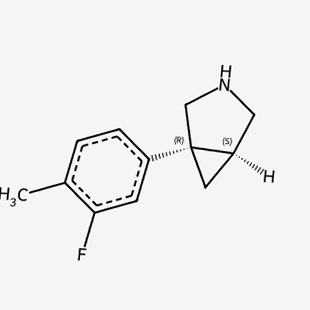 Cc1ccc([C@]23CNC[C@H]2C3)cc1F